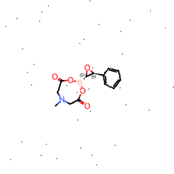 CN1CC(=O)OB([C@@H]2O[C@H]2c2ccccc2)OC(=O)C1